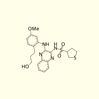 COc1ccc(CCCO)c(Nc2nc3ccccc3nc2NS(=O)(=O)C2CCSC2)c1